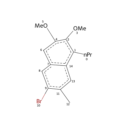 CCCc1c(OC)c(OC)cc2cc(Br)c(C)cc12